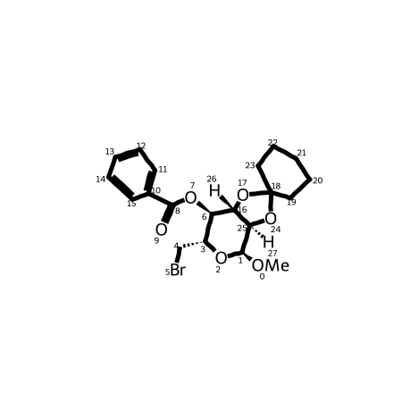 CO[C@H]1O[C@H](CBr)[C@@H](OC(=O)c2ccccc2)[C@@H]2OC3(CCCCC3)O[C@@H]12